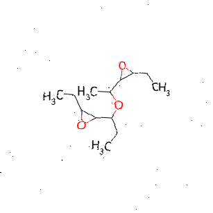 CCC1OC1C(C)OC(CC)C1OC1CC